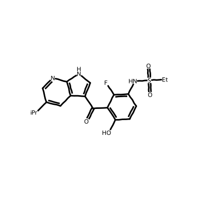 CCS(=O)(=O)Nc1ccc(O)c(C(=O)c2c[nH]c3ncc(C(C)C)cc23)c1F